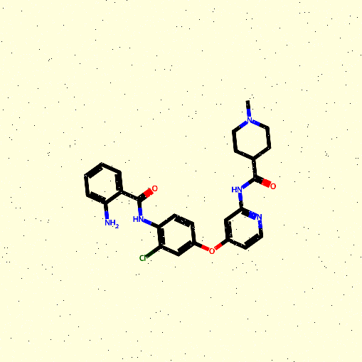 CN1CCC(C(=O)Nc2cc(Oc3ccc(NC(=O)c4ccccc4N)c(Cl)c3)ccn2)CC1